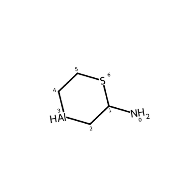 NC1[CH2][AlH][CH2]CS1